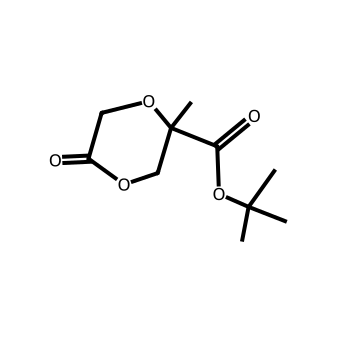 CC(C)(C)OC(=O)C1(C)COC(=O)CO1